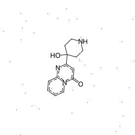 O=c1cc(C2(O)CCNCC2)nc2ccccn12